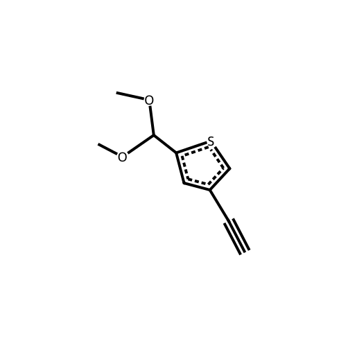 C#Cc1csc(C(OC)OC)c1